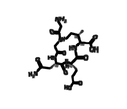 CC[C@H](C)[C@H](NC(=O)[C@H](CCC(=O)O)NC(=O)[C@H](CC(N)=O)NC(=O)CNC(=O)CN)C(=O)O